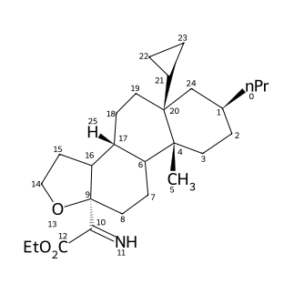 CCC[C@H]1CC[C@]2(C)C3CC[C@@]4(C(=N)C(=O)OCC)OCCC4[C@@H]3CC[C@]2(C2CC2)C1